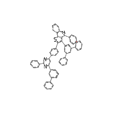 c1ccc(-c2cccc(-c3cc(-c4ccc(-c5sc6c(c(-c7ccccc7)nc7ccccc76)c5-c5cc(-c6ccccc6)cc(-c6ccccc6)c5)cc4)nc(-c4ccccc4)n3)c2)cc1